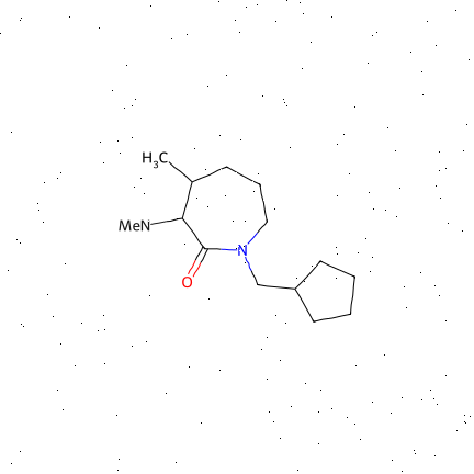 CNC1C(=O)N(CC2CCCC2)CCCC1C